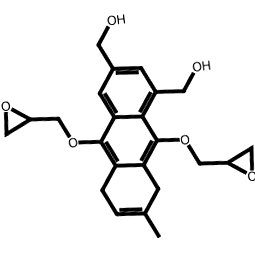 CC1=CCc2c(c(OCC3CO3)c3c(CO)cc(CO)cc3c2OCC2CO2)C1